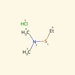 CCSN(C)C.Cl